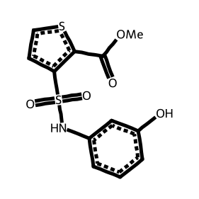 COC(=O)c1sccc1S(=O)(=O)Nc1cccc(O)c1